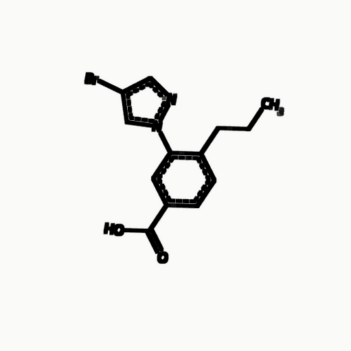 CCCc1ccc(C(=O)O)cc1-n1cc(Br)cn1